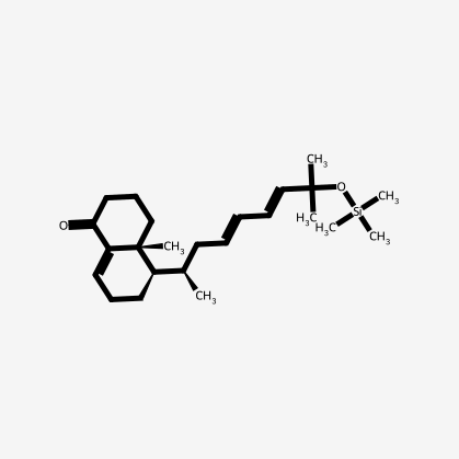 C[C@H](CC=CC=CC(C)(C)O[Si](C)(C)C)[C@H]1CCC=C2C(=O)CCC[C@@]21C